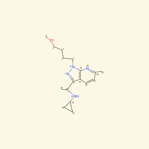 COCCCCn1nc(C(C)NC2CC2)c2ccc(C)nc21